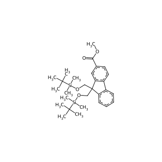 COC(=O)c1ccc2c(c1)C(CO[Si](C)(C)C(C)(C)C)(CO[Si](C)(C)C(C)(C)C)c1ccccc1-2